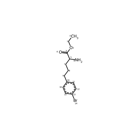 CCOC(=O)C(N)CCCc1ccc(Br)cc1